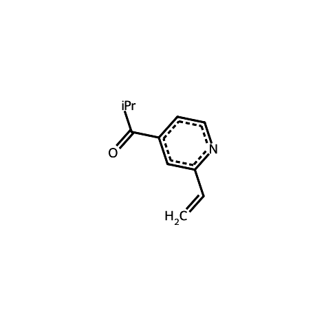 C=Cc1cc(C(=O)C(C)C)ccn1